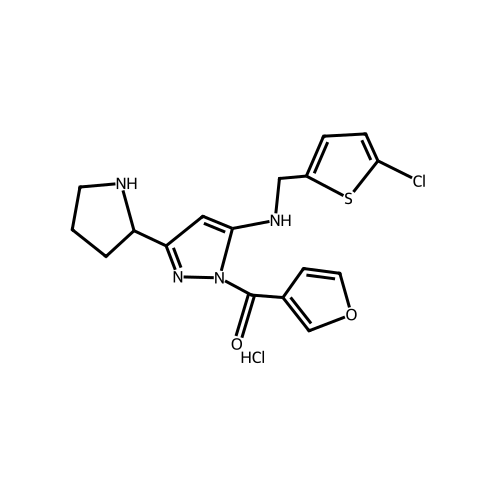 Cl.O=C(c1ccoc1)n1nc(C2CCCN2)cc1NCc1ccc(Cl)s1